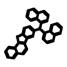 c1ccc2c(N(c3ccc4sc5c6ccccc6ccc5c4c3)c3cccc4ccccc34)cccc2c1